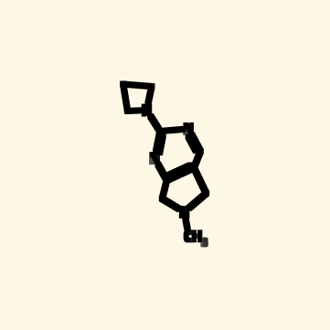 CN1Cc2cnc(N3CCC3)nc2C1